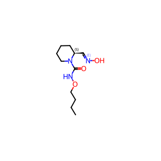 CCCCONC(=O)N1CCCC[C@H]1/C=N/O